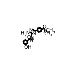 CN(C)C(=O)c1ccc(-c2cnc(N)c(-c3nnc(-c4cccc(O)c4)o3)n2)cc1